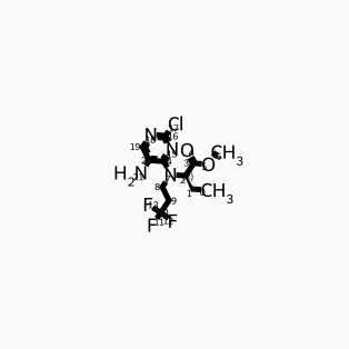 CC[C@H](C(=O)OC)N(CCC(F)(F)F)c1nc(Cl)ncc1N